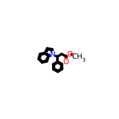 COC(=O)CC(c1ccccc1)n1ccc2ccccc21